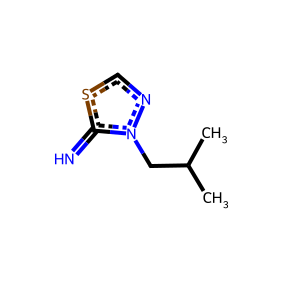 CC(C)Cn1ncsc1=N